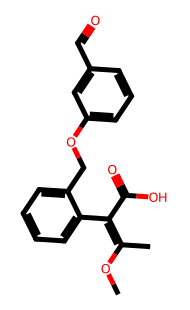 COC(C)=C(C(=O)O)c1ccccc1COc1cccc(C=O)c1